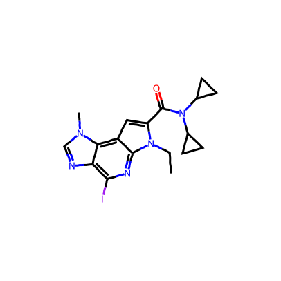 CCn1c(C(=O)N(C2CC2)C2CC2)cc2c3c(ncn3C)c(I)nc21